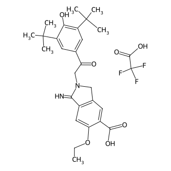 CCOc1cc2c(cc1C(=O)O)CN(CC(=O)c1cc(C(C)(C)C)c(O)c(C(C)(C)C)c1)C2=N.O=C(O)C(F)(F)F